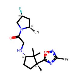 CC(C)c1noc([C@]2(C)CC[C@H](NCC(=O)N3C[C@@H](F)C[C@H]3C#N)C2(C)C)n1